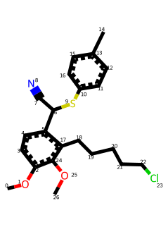 COc1ccc(C(C#N)Sc2ccc(C)cc2)c(CCCCCCl)c1OC